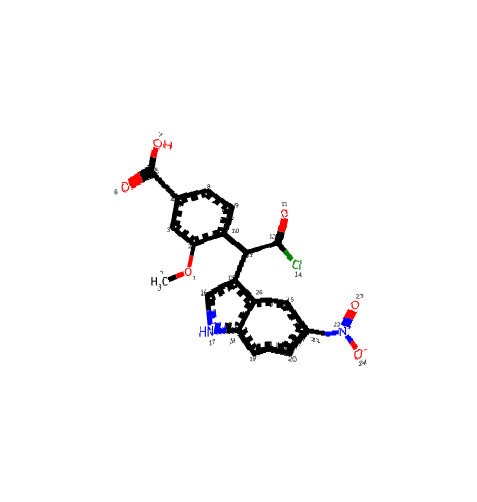 COc1cc(C(=O)O)ccc1C(C(=O)Cl)c1c[nH]c2ccc([N+](=O)[O-])cc12